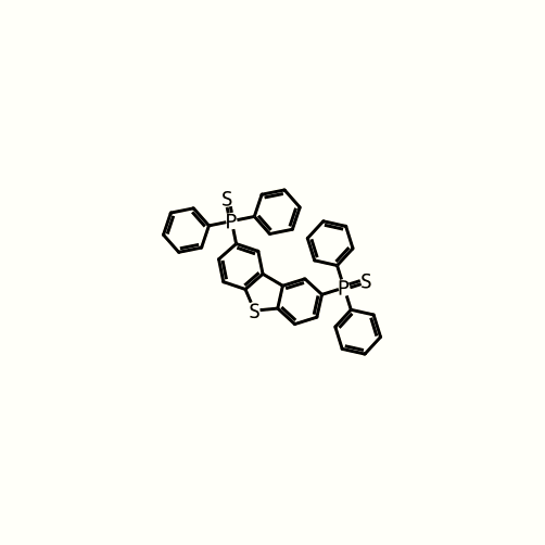 S=P(c1ccccc1)(c1ccccc1)c1ccc2sc3ccc(P(=S)(c4ccccc4)c4ccccc4)cc3c2c1